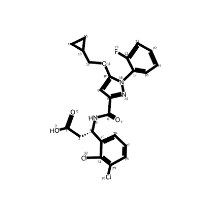 O=C(O)C[C@H](NC(=O)c1cc(OCC2CC2)n(-c2ccccc2F)n1)c1cccc(Cl)c1Cl